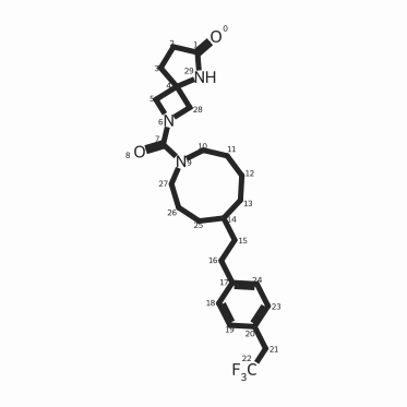 O=C1CCC2(CN(C(=O)N3CCCCC(CCc4ccc(CC(F)(F)F)cc4)CCC3)C2)N1